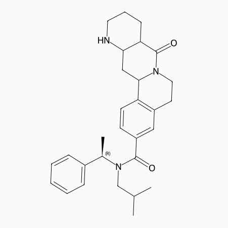 CC(C)CN(C(=O)c1ccc2c(c1)CCN1C(=O)C3CCCNC3CC21)[C@H](C)c1ccccc1